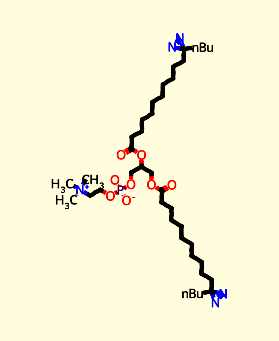 CCCCC1(CCCCCCCCCCC(=O)OCC(COP(=O)([O-])OCC[N+](C)(C)C)OC(=O)CCCCCCCCCCC2(CCCC)N=N2)N=N1